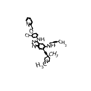 CC#CCNc1cc2c(Nc3ccc(OCc4ccccn4)c(Cl)c3)ncnc2cc1C#CC1(C)CCN(C)C1